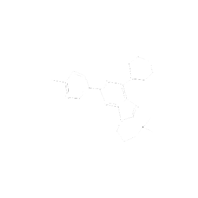 CC1(C)OCCn2c1nc1c(N3CCOCC3)nc(-c3ccc(O)nc3)nc12